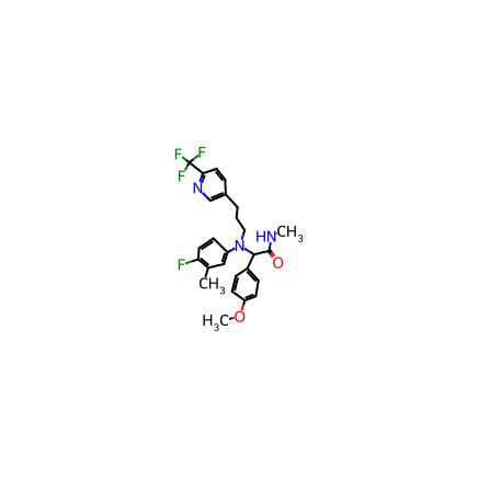 CNC(=O)C(c1ccc(OC)cc1)N(CCCc1ccc(C(F)(F)F)nc1)c1ccc(F)c(C)c1